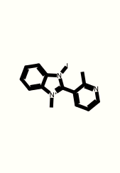 Cc1ncccc1-c1n(I)c2ccccc2[n+]1C